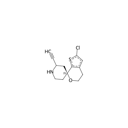 C#CC1C[C@]2(CCN1)OCCc1cc(Cl)sc12